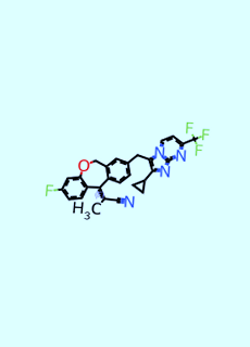 C/C(C#N)=C1/c2ccc(Cc3c(C4CC4)nc4nc(C(F)(F)F)ccn34)cc2COc2cc(F)ccc21